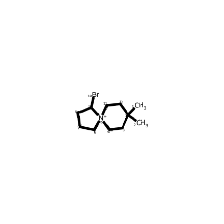 CC1(C)CC[N+]2(CCCC2Br)CC1